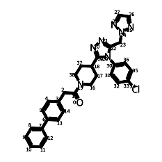 O=C(Cc1ccc(-c2ccccc2)cc1)N1CCC(c2nnc(Cn3nccn3)n2-c2ccc(Cl)cc2)CC1